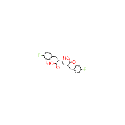 O=C(O)[C@H](/C=C/[C@H](Cc1ccc(F)cc1)C(=O)O)Cc1ccc(F)cc1